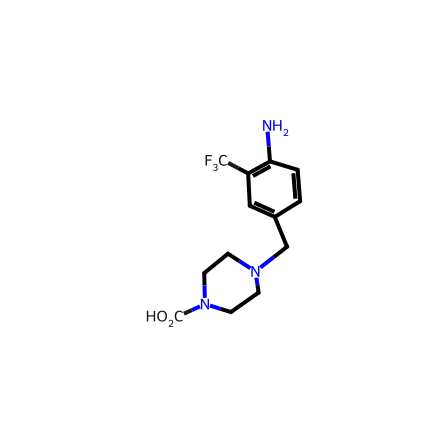 Nc1ccc(CN2CCN(C(=O)O)CC2)cc1C(F)(F)F